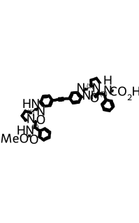 COC(=O)N[C@@H](C(=O)N1CCC[C@H]1c1nc2cc(C#Cc3ccc4[nH]c([C@@H]5CCCN5C(=O)[C@H](NC(=O)O)c5ccccc5)nc4c3)ccc2[nH]1)c1ccccc1